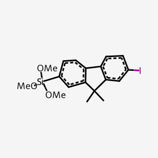 CO[Si](OC)(OC)c1ccc2c(c1)C(C)(C)c1cc(I)ccc1-2